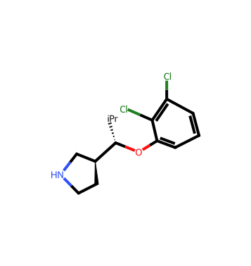 CC(C)[C@H](Oc1cccc(Cl)c1Cl)[C@H]1CCNC1